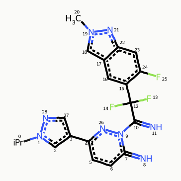 CC(C)n1cc(-c2ccc(=N)n(C(=N)C(F)(F)c3cc4cn(C)nc4cc3F)n2)cn1